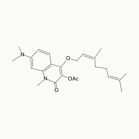 CC(=O)Oc1c(OCC=C(C)CCC=C(C)C)c2ccc(N(C)C)cc2n(C)c1=O